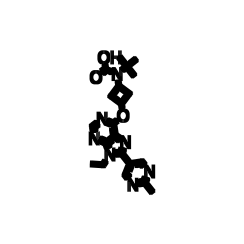 CCn1c(-c2cnc(C)nc2)nc2c(OC3CC(N(C(=O)O)C(C)(C)C)C3)ncnc21